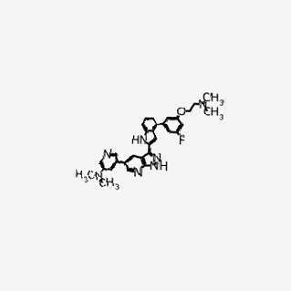 CN(C)CCOc1cc(F)cc(-c2cccc3[nH]c(-c4n[nH]c5ncc(-c6cncc(N(C)C)c6)cc45)cc23)c1